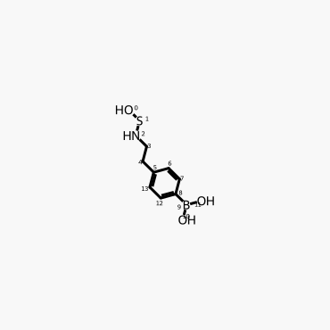 OSNCCc1ccc(B(O)O)cc1